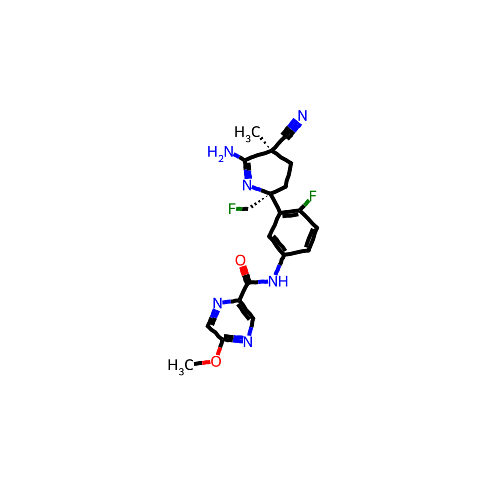 COc1cnc(C(=O)Nc2ccc(F)c([C@]3(CF)CC[C@](C)(C#N)C(N)=N3)c2)cn1